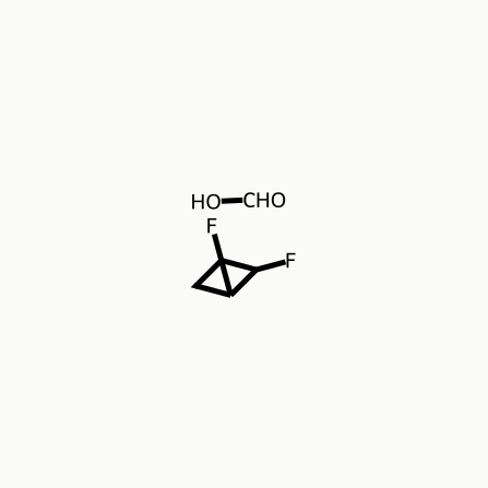 FC1C2CC12F.O=CO